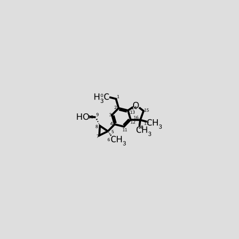 CCc1cc([C@@]2(C)C[C@@H]2CO)cc2c1OCC2(C)C